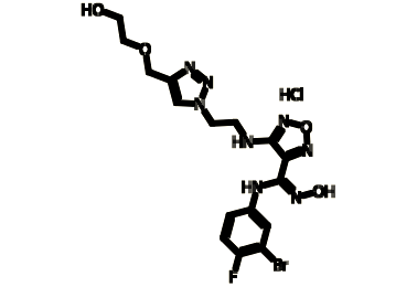 Cl.OCCOCc1cn(CCNc2nonc2C(=NO)Nc2ccc(F)c(Br)c2)nn1